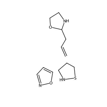 C1CNSC1.C=CCC1NCCO1.c1cnoc1